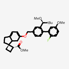 COC(=O)[C@@H]1CC[C@]12CCC1=CC=C(OCc3ccc(-c4cc(OC)ccc4F)c([C@@H](OC)C(C)(C)C)c3)CC12